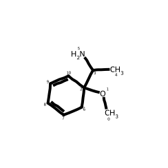 COC1(C(C)N)[CH]C=CC=C1